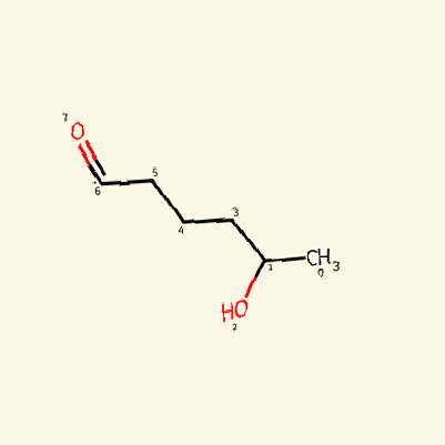 CC(O)CCC[C]=O